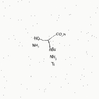 CCCCC(O)C(=O)O.N.N.[Ti]